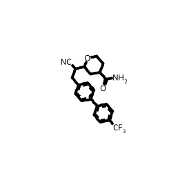 N#CC(Cc1ccc(-c2ccc(C(F)(F)F)cc2)cc1)C1CC(C(N)=O)CCO1